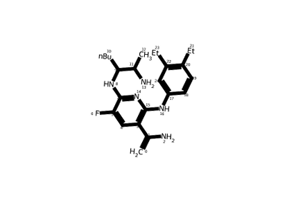 C=C(N)c1cc(F)c(NC(CCCC)C(C)N)nc1Nc1ccc(CC)c(CC)c1